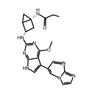 CCC(=O)N[C@@]12CC1[C@@H](Nc1nc(OC)c3c(-c4cnc5nccn5c4)c[nH]c3n1)C2